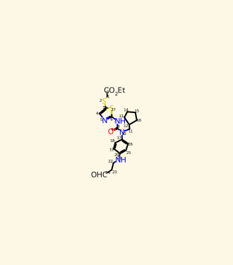 CCOC(=O)CSc1cnc(NC(=O)N(CC2CCCC2)c2ccc(NCCC=O)cc2)s1